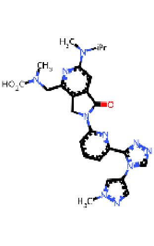 CC(C)N(C)c1cc2c(c(CN(C)C(=O)O)n1)CN(c1cccc(-c3nncn3-c3cnn(C)c3)n1)C2=O